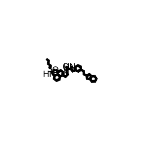 CCCCSC1NC2CC=Cc3c4c(cc(c32)O1)N(C(=O)c1cc2cc(CCC3=CC5=C(C=CCC5)C3)ccc2[nH]1)CC4